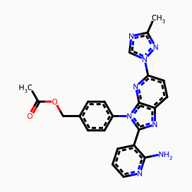 CC(=O)OCc1ccc(-n2c(-c3cccnc3N)nc3ccc(-n4cnc(C)n4)nc32)cc1